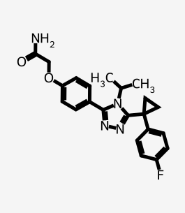 CC(C)n1c(-c2ccc(OCC(N)=O)cc2)nnc1C1(c2ccc(F)cc2)CC1